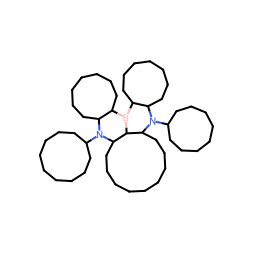 C1CCCCC(N2C3CCCCCCCC3B3C4CCCCCCCC4N(C4CCCCCCCC4)C4CCCCCCCCCC2C34)CCCC1